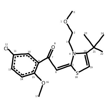 COCCN1C(=CC(=O)c2cc(Cl)ccc2OC)SC=C1C(C)(C)C